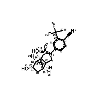 N#Cc1ccc(N2C[C@H]3[C@H]4C[C@H](O)[C@H](C4)[C@@]3(CO)S2(=O)=O)cc1C(F)(F)F